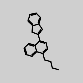 CCCCc1ccc(C2=Cc3ccccc3[CH]2)c2ccccc12